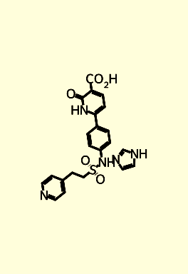 O=C(O)c1ccc(-c2ccc(NS(=O)(=O)CCc3ccncc3)cc2)[nH]c1=O.c1c[nH]cn1